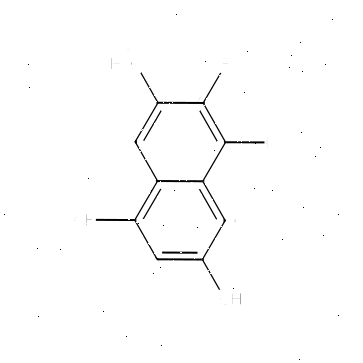 Cc1cc(F)c2cc(C)c(F)c(F)c2c1